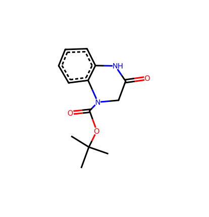 CC(C)(C)OC(=O)N1CC(=O)Nc2ccccc21